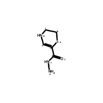 NNC(=O)C1=CNCCS1